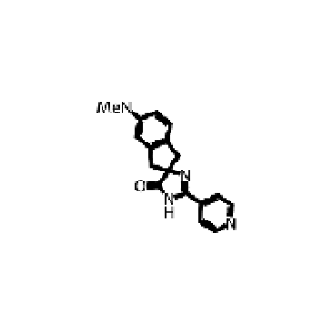 CNc1ccc2c(c1)CC1(C2)N=C(c2ccncc2)NC1=O